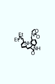 CCN(CC)Cc1ccc(/C=C2/C(=O)Nc3ccc(CN4CCOC4=O)cc32)[nH]1